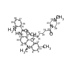 COc1cc(N(C)c2ccc(C)cc2OCCCCCC(=O)N2CCN(C)CC2)ccc1NC(=O)c1ccccc1N